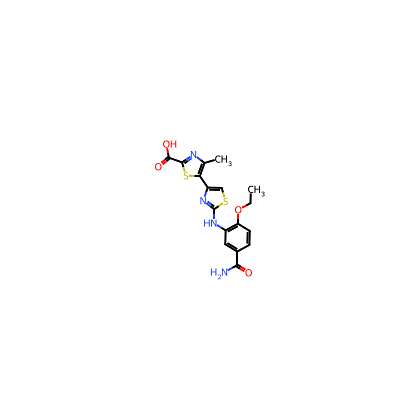 CCOc1ccc(C(N)=O)cc1Nc1nc(-c2sc(C(=O)O)nc2C)cs1